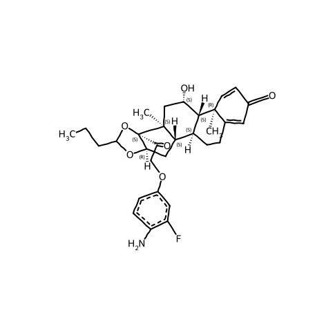 CCCC1O[C@@H]2C[C@H]3[C@@H]4CCC5=CC(=O)C=C[C@]5(C)[C@H]4[C@@H](O)C[C@]3(C)[C@]2(C(=O)COc2ccc(N)c(F)c2)O1